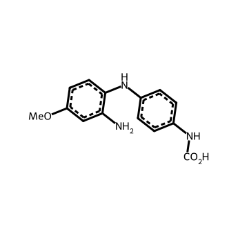 COc1ccc(Nc2ccc(NC(=O)O)cc2)c(N)c1